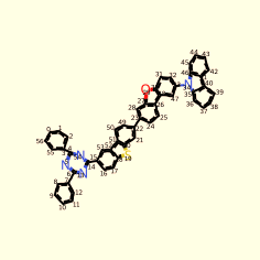 c1ccc(-c2nc(-c3ccccc3)nc(-c3ccc4sc5cc(-c6ccc7c(c6)oc6ccc(-n8c9ccccc9c9ccccc98)cc67)ccc5c4c3)n2)cc1